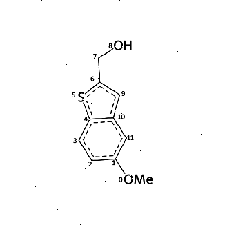 COc1ccc2sc(CO)cc2c1